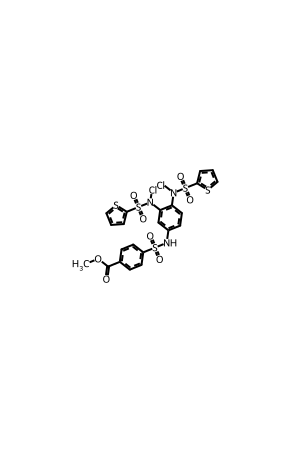 COC(=O)c1ccc(S(=O)(=O)Nc2ccc(N(Cl)S(=O)(=O)c3cccs3)c(N(Cl)S(=O)(=O)c3cccs3)c2)cc1